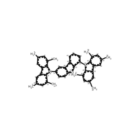 Cc1cc(C)c2c(c1)c1cc(C)cc(C)c1n2-c1ccc2oc3c(-n4c5c(C)cc(C)cc5c5cc(C)cc(C)c54)cccc3c2c1